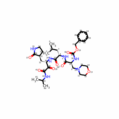 CC(C)C[C@H](NC(=O)[C@H](CN1CCOCC1)NC(=O)OCc1ccccc1)C(=O)N[C@@H](C[C@@H]1CCNC1=O)C(=O)C(=O)NC(C)C